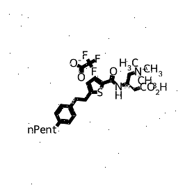 CCCCCc1ccc(CCc2ccc(C(=O)N[C@H](CC(=O)O)C[N+](C)(C)C)s2)cc1.O=C([O-])C(F)(F)F